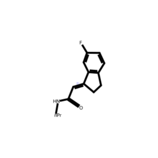 CCCNC(=O)/C=C1\CCc2ccc(F)cc21